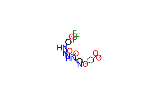 COC(=O)[C@H]1CC[C@@H](Oc2ccc(NC(=O)c3nnc(Nc4ccc(OC(F)(F)F)cc4)o3)cn2)CC1